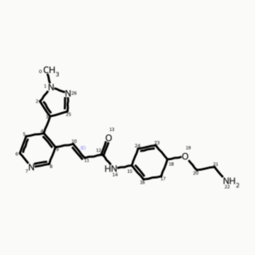 Cn1cc(-c2ccncc2/C=C/C(=O)NC2=CCC(OCCN)C=C2)cn1